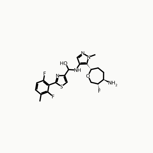 Cc1ccc(F)c(-c2nc(C(O)Nc3cnn(C)c3[C@@H]3CC[C@@H](N)[C@H](F)CO3)cs2)c1F